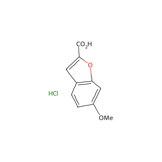 COc1ccc2cc(C(=O)O)oc2c1.Cl